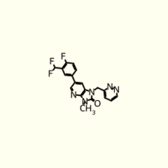 Cn1c(=O)n(Cc2cccnn2)c2cc(-c3ccc(F)c(C(F)F)c3)cnc21